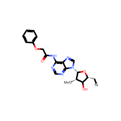 [2H]C[C@H]1O[C@@H](n2cnc3c(NC(=O)COc4ccccc4)ncnc32)[C@@H](OC)C1O